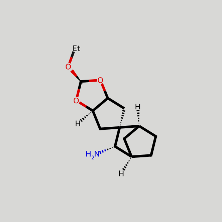 CCO[C@H]1OC2C[C@]3(C[C@H]2O1)[C@H]1CC[C@H](C1)[C@@H]3N